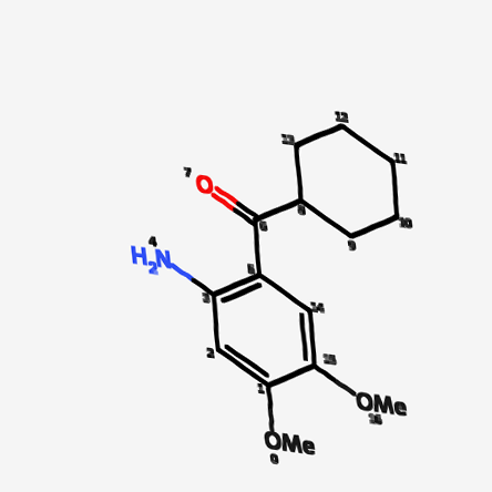 COc1cc(N)c(C(=O)C2CCCCC2)cc1OC